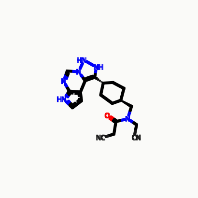 N#CCC(=O)N(CC#N)C[C@H]1CC[C@H](C2=C3c4cc[nH]c4N=CN3NN2)CC1